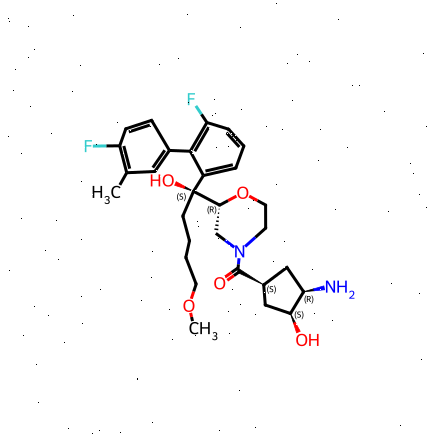 COCCCC[C@](O)(c1cccc(F)c1-c1ccc(F)c(C)c1)[C@H]1CN(C(=O)[C@H]2C[C@@H](N)[C@@H](O)C2)CCO1